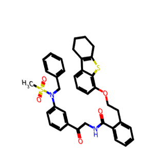 CS(=O)(=O)N(Cc1ccccc1)c1cccc(C(=O)CNC(=O)c2ccccc2CCOc2cccc3c4c(sc23)CCCC4)c1